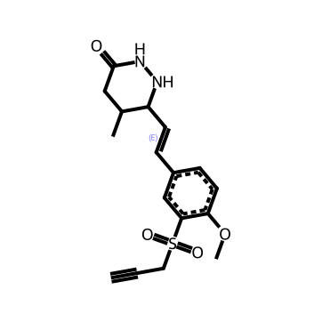 C#CCS(=O)(=O)c1cc(/C=C/C2NNC(=O)CC2C)ccc1OC